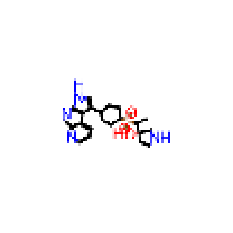 CC(C1(O)CCNC1)S(=O)(=O)C1CCC(c2c[nH]c3ncc4ncccc4c23)CC1